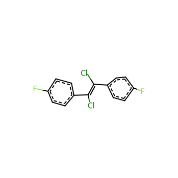 Fc1ccc(/C(Cl)=C(\Cl)c2ccc(F)cc2)cc1